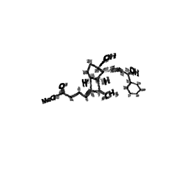 COC(=O)CC/C=C1/C(C)[C@@H]2[C@@H](C#CC(O)C3CCCCC3)[C@H](O)CC[C@H]12